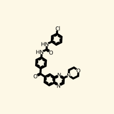 O=C(Nc1ccc(C(=O)c2ccc3ncc(N4CCOCC4)nc3c2)cc1)Nc1cccc(Cl)c1